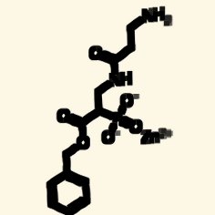 NCCC(=O)NCC(C(=O)OCc1ccccc1)P(=O)([O-])[O-].[Zn+2]